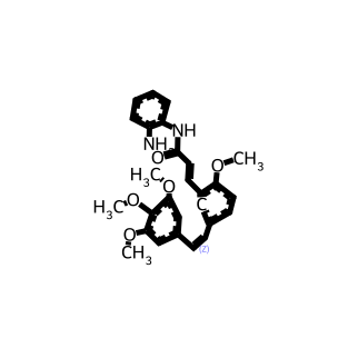 COc1ccc(/C=C\c2cc(OC)c(OC)c(OC)c2)cc1C=CC(=O)Nc1ccccc1N